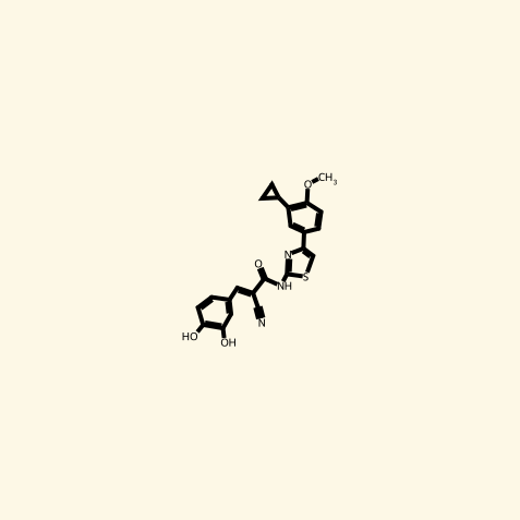 COc1ccc(-c2csc(NC(=O)/C(C#N)=C/c3ccc(O)c(O)c3)n2)cc1C1CC1